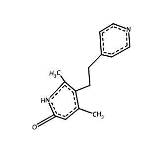 Cc1cc(=O)[nH]c(C)c1CCc1ccncc1